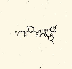 C=C(Nc1cn(C)nc1N1CC(C)CC1=O)c1coc(-c2ccnc(NCC(F)(F)F)c2)n1